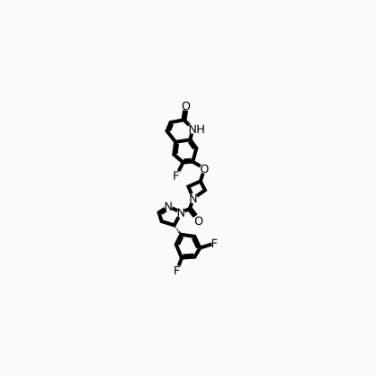 O=C(N1CC(Oc2cc3[nH]c(=O)ccc3cc2F)C1)N1N=CC[C@H]1c1cc(F)cc(F)c1